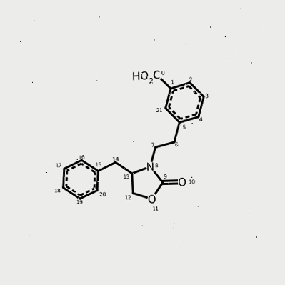 O=C(O)c1cccc(CCN2C(=O)OCC2Cc2ccccc2)c1